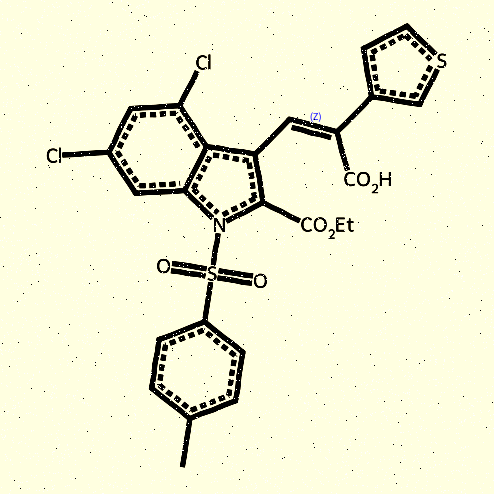 CCOC(=O)c1c(/C=C(\C(=O)O)c2ccsc2)c2c(Cl)cc(Cl)cc2n1S(=O)(=O)c1ccc(C)cc1